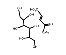 COC(=O)/C=C/C(=O)O.OCC(O)C(O)C(O)C(O)CO